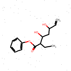 C=CC(O)CC(O)C(CC)C(=O)Oc1ccccc1